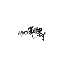 CCOc1nc2[nH]cc(F)c2cc1Oc1ccccc1C(=O)NS(=O)(=O)c1cc2c(c([N+](=O)[O-])c1)N[C@@H](C1CCC(C)(O)CC1)CO2